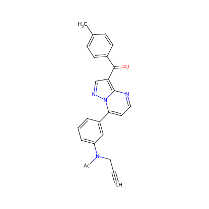 C#CCN(C(C)=O)c1cccc(-c2ccnc3c(C(=O)c4ccc(C)cc4)cnn23)c1